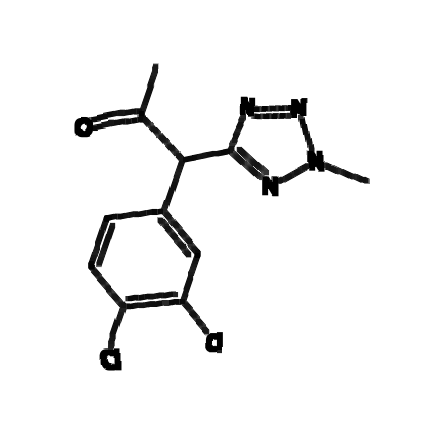 CC(=O)C(c1ccc(Cl)c(Cl)c1)c1nnn(C)n1